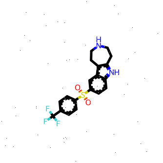 O=S(=O)(c1ccc(C(F)(F)F)cc1)c1ccc2[nH]c3c(c2c1)CCNCC3